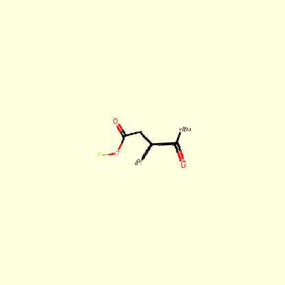 CCCCC(=O)C(CC(=O)OF)C(C)C